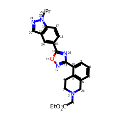 CCOC(=O)CN1CCc2c(cccc2-c2noc(-c3ccc4c(cnn4C(C)C)c3)n2)C1